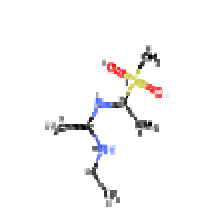 C=C(/N=C(\NC)S(C)(=O)=O)NCC(F)(F)F